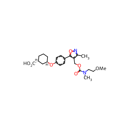 COCCN(C)C(=O)OCc1c(C)noc1-c1ccc(O[C@@H]2CCC[C@@H](C(=O)O)C2)cc1